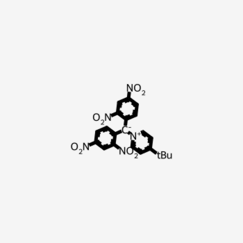 CC(C)(C)c1cc[n+]([C-](c2ccc([N+](=O)[O-])cc2[N+](=O)[O-])c2ccc([N+](=O)[O-])cc2[N+](=O)[O-])cc1